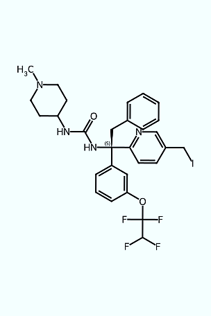 CN1CCC(NC(=O)N[C@@](Cc2ccccc2)(c2cccc(OC(F)(F)C(F)F)c2)c2ccc(CI)cn2)CC1